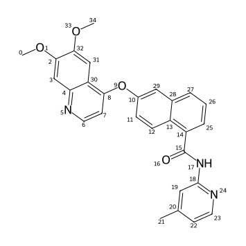 COc1cc2nccc(Oc3ccc4c(C(=O)Nc5cc(C)ccn5)cccc4c3)c2cc1OC